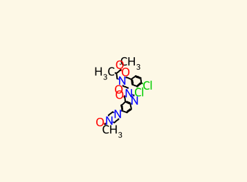 COC(=O)C(C)CN(Cc1ccc(Cl)c(Cl)c1)C(=O)Cn1cnc2ccc(N3CCN(C(C)=O)CC3)cc2c1=O